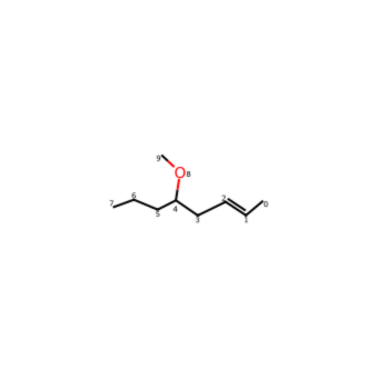 CC=CCC(CCC)OC